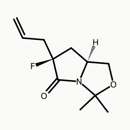 C=CC[C@]1(F)C[C@H]2COC(C)(C)N2C1=O